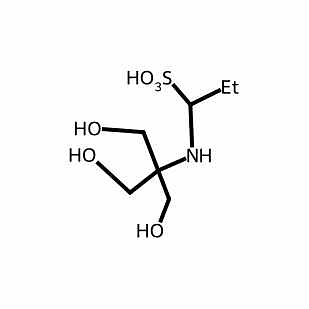 CCC(NC(CO)(CO)CO)S(=O)(=O)O